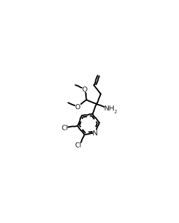 C=CCC(N)(c1cnc(Cl)c(Cl)c1)C(OC)OC